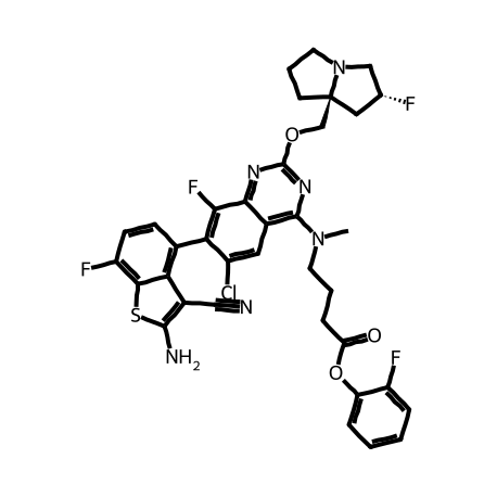 CN(CCCC(=O)Oc1ccccc1F)c1nc(OC[C@@]23CCCN2C[C@H](F)C3)nc2c(F)c(-c3ccc(F)c4sc(N)c(C#N)c34)c(Cl)cc12